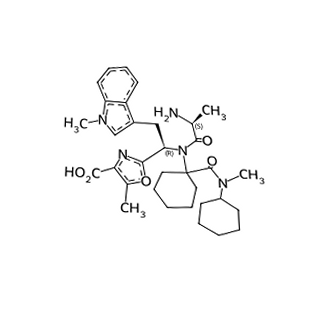 Cc1oc([C@@H](Cc2cn(C)c3ccccc23)N(C(=O)[C@H](C)N)C2(C(=O)N(C)C3CCCCC3)CCCCC2)nc1C(=O)O